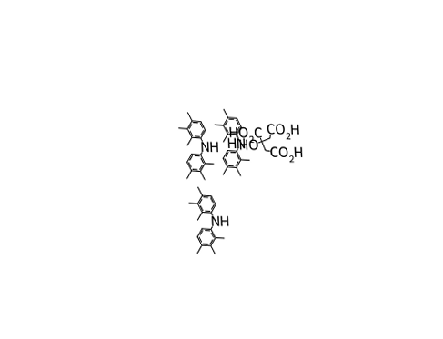 Cc1ccc(Nc2ccc(C)c(C)c2C)c(C)c1C.Cc1ccc(Nc2ccc(C)c(C)c2C)c(C)c1C.Cc1ccc(Nc2ccc(C)c(C)c2C)c(C)c1C.O=C(O)CC(O)(CC(=O)O)C(=O)O